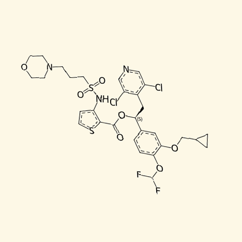 O=C(O[C@@H](Cc1c(Cl)cncc1Cl)c1ccc(OC(F)F)c(OCC2CC2)c1)c1sccc1NS(=O)(=O)CCCN1CCOCC1